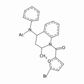 CC(=O)N(c1ccccc1)C1CC(C)N(C(=O)c2ccc(Br)o2)c2ccccc21